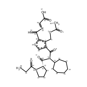 CC(=O)OCc1c(C(=O)N(C(=O)[C@@H]2CCCN2C(=O)CN)C2CCCCCC2)csc1C(=N)N=CC(=O)O